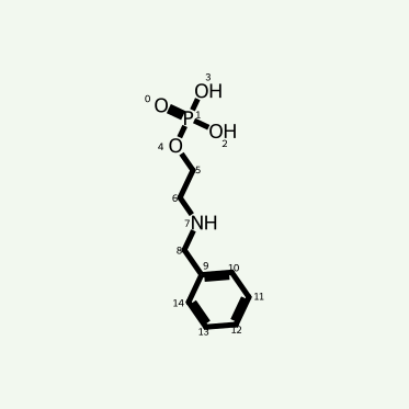 O=P(O)(O)OCCNCc1ccccc1